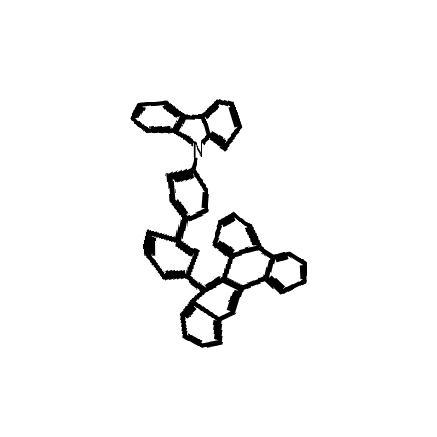 c1cc(-c2ccc(-n3c4ccccc4c4ccccc43)cc2)cc(-c2c3ccccc3cc3c4ccccc4c4ccccc4c23)c1